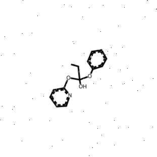 CCC(O)(Oc1ccccc1)Oc1ccccn1